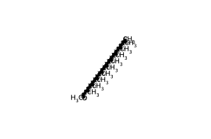 CC(=O)CC/C=C(\C)CC/C=C(\C)CC/C=C(\C)CC/C=C(\C)CC/C=C(\C)CC/C=C(\C)CC/C=C(\C)CC/C=C(\C)CCC=C(C)C